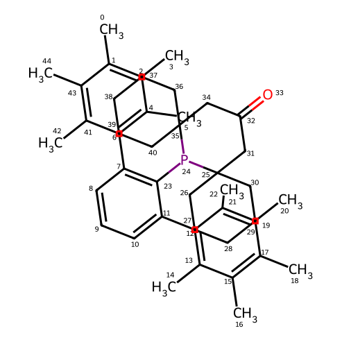 Cc1c(C)c(C)c(-c2cccc(-c3c(C)c(C)c(C)c(C)c3C)c2P2C3(CCCCC3)CC(=O)CC23CCCCC3)c(C)c1C